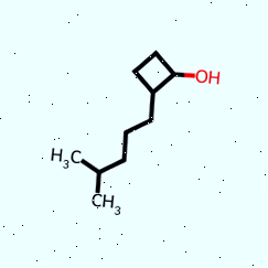 CC(C)CCCC1CCC1O